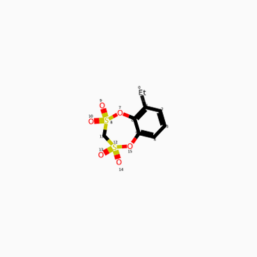 CCc1cccc2c1OS(=O)(=O)CS(=O)(=O)O2